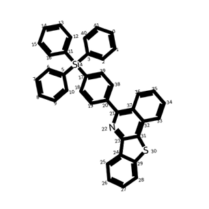 c1ccc([Si](c2ccccc2)(c2ccccc2)c2ccc(-c3nc4c5ccccc5sc4c4ccccc34)cc2)cc1